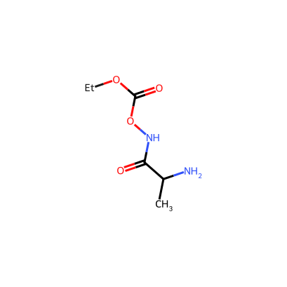 CCOC(=O)ONC(=O)C(C)N